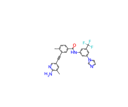 Cc1ccc(C(=O)Nc2cc(-n3ccnc3)cc(C(F)(F)F)c2)cc1C#Cc1cnc(N)c(C)c1